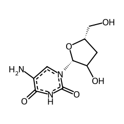 Nc1cn([C@@H]2O[C@H](CO)CC2O)c(=O)[nH]c1=O